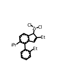 CCC1=Cc2c(ccc(C(C)C)c2-c2ccccc2CC)[CH]1[Zr]([Cl])[Cl]